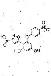 O=C(O)c1cc(-c2c(O)cc(O)cc2Oc2ccc([N+](=O)[O-])cc2)on1